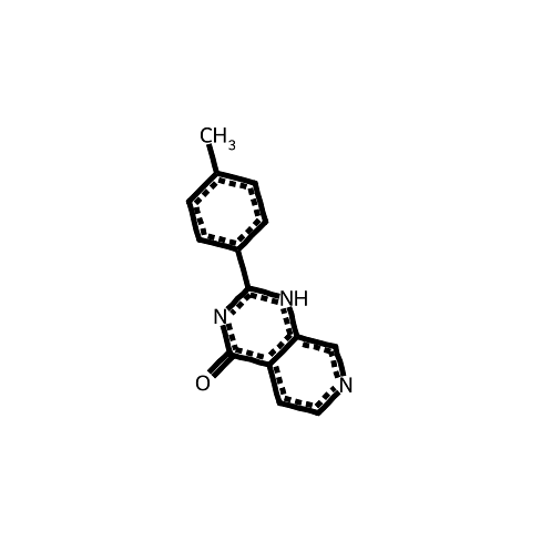 Cc1ccc(-c2nc(=O)c3ccncc3[nH]2)cc1